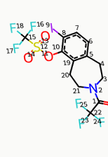 O=C(N1CCc2ccc(I)c(OS(=O)(=O)C(F)(F)F)c2CC1)C(F)(F)F